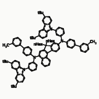 CCCCCCC1(CCCCCC)c2cc(N(c3ccc(-c4cccc(C)c4)cc3)c3cccc(-n4c5ccc(C(C)(C)C)cc5c5cc(C(C)(C)C)ccc54)c3)ccc2-c2c1cc(N(c1ccc(-c3cccc(C)c3)cc1)c1cccc(-n3c4ccc(C(C)(C)C)cc4c4cc(C(C)(C)C)ccc43)c1)c1ccccc21